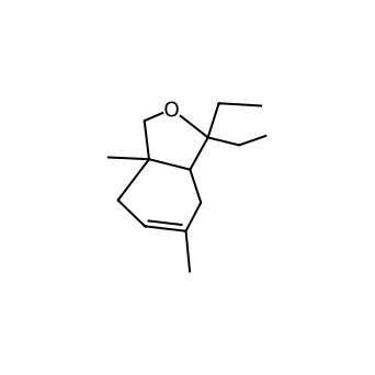 CCC1(CC)OCC2(C)CC=C(C)CC21